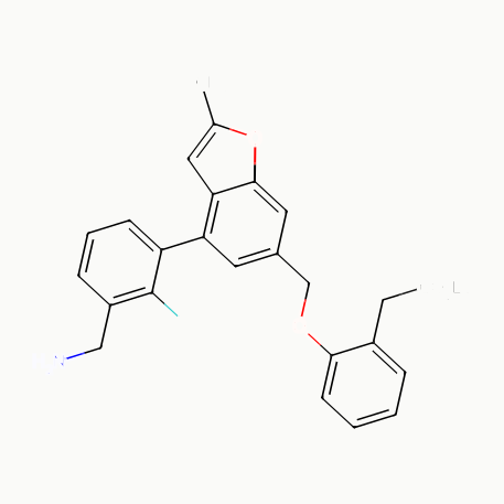 CCOC(=O)Cc1ccccc1OCc1cc(-c2cccc(CN)c2F)c2cc(C)oc2c1